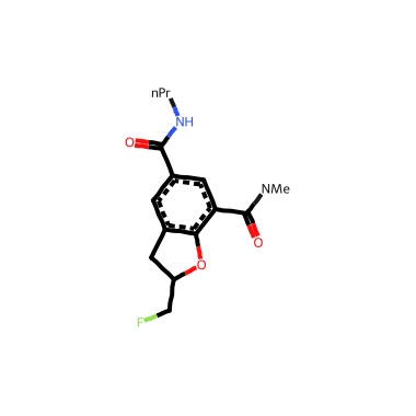 CCCNC(=O)c1cc2c(c(C(=O)NC)c1)OC(CF)C2